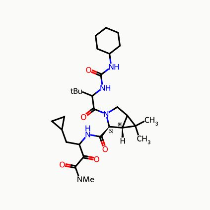 CNC(=O)C(=O)C(CC1CC1)NC(=O)[C@@H]1[C@@H]2C(CN1C(=O)C(NC(=O)NC1CCCCC1)C(C)(C)C)C2(C)C